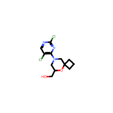 OCC1CN(c2nc(Cl)ncc2Cl)CC2(CCC2)O1